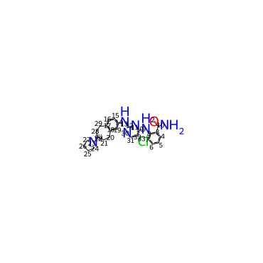 NC(=O)c1ccccc1Nc1nc(Nc2ccc3c(c2)CC[C@@H](N2CCCC2)CC3)ncc1Cl